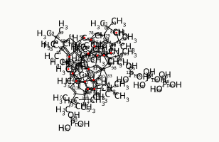 CC(C)(C)c1cc2c(c(C(C)(C)C)c1)OC1(c3c(cc(C(C)(C)C)cc3C(C)(C)C)C2)c2c(cc(C(C)(C)C)cc2C(C)(C)C)Cc2cc(C(C)(C)C)cc(C(C)(C)C)c2C2(Oc3c(cc(C(C)(C)C)cc3C(C)(C)C)Cc3cc(C(C)(C)C)cc(C(C)(C)C)c32)C1(CO)C1(O)c2c(cc(C(C)(C)C)cc2C(C)(C)C)Cc2cc(C(C)(C)C)cc(C(C)(C)C)c21.OP(O)O.OP(O)O.OP(O)O.OP(O)O